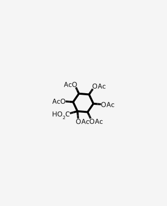 CC(=O)OC1C(OC(C)=O)C(OC(C)=O)C(OC(C)=O)(C(=O)O)C(OC(C)=O)C1OC(C)=O